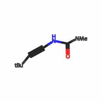 CNC(=O)NC#CC(C)(C)C